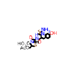 CC(=O)OCC1=C(C(=O)O)N2C(=O)C(NC(=O)C(=Cc3ccc(O)cc3)c3csc(N)n3)[C@@H]2SC1